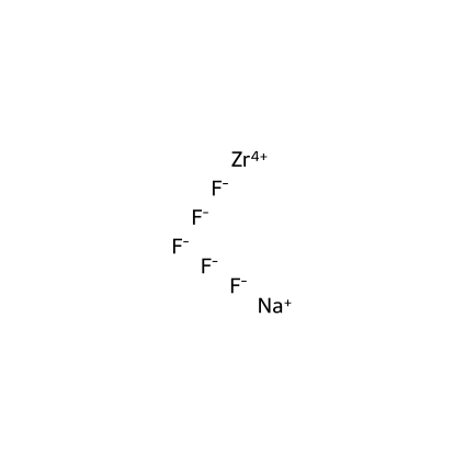 [F-].[F-].[F-].[F-].[F-].[Na+].[Zr+4]